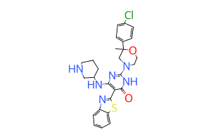 CC1(c2ccc(Cl)cc2)CN(c2nc(NC3CCCNC3)c(-c3nc4ccccc4s3)c(=O)[nH]2)CCO1